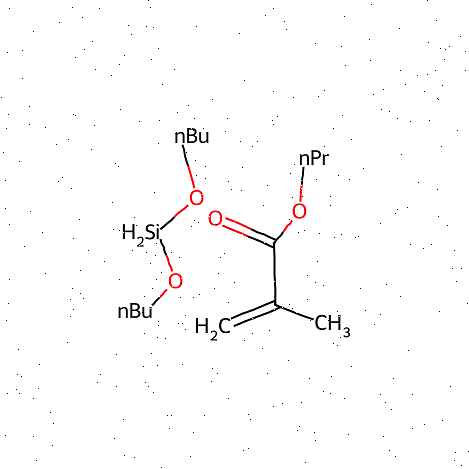 C=C(C)C(=O)OCCC.CCCCO[SiH2]OCCCC